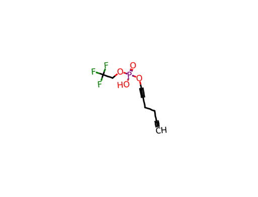 C#CCCC#COP(=O)(O)OCC(F)(F)F